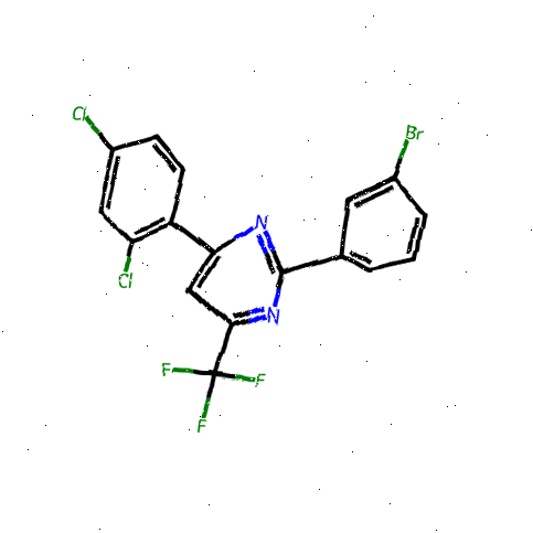 FC(F)(F)c1cc(-c2ccc(Cl)cc2Cl)nc(-c2cccc(Br)c2)n1